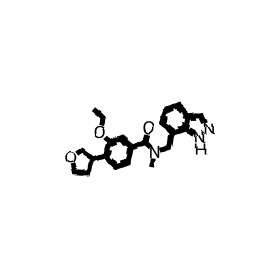 CCOc1cc(C(=O)N(C)Cc2cccc3cn[nH]c23)ccc1C1CCOC1